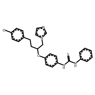 S=C(Nc1ccccc1)Nc1ccc(OC(CCc2ccc(Cl)cc2)Cn2ccnc2)cc1